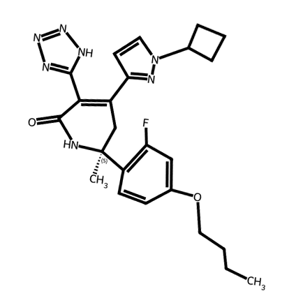 CCCCOc1ccc([C@]2(C)CC(c3ccn(C4CCC4)n3)=C(c3nnn[nH]3)C(=O)N2)c(F)c1